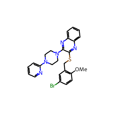 COc1ccc(Br)cc1CSc1nc2ccccc2nc1N1CCN(c2ccccn2)CC1